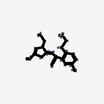 CC(C)Cn1cc(C(C)(C)C)s/c1=N\C(=O)c1cc(Cl)ccc1OCC(F)(F)F